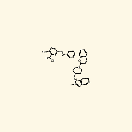 Cc1nc2cnccc2n1CC1CCN(C(=O)/C=C\c2cccc(-c3ccc(N=Nc4ccc(O)c(C(=O)O)c4)cc3)c2)CC1